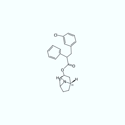 CN1C2CC[C@H]1CC(OC(=O)C(Cc1cccc(Cl)c1)c1ccccc1)C2